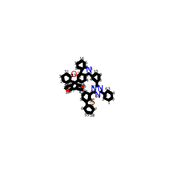 c1ccc(-c2nc(-c3cccc(-c4nc5ccccc5c5c6c(ccc45)C4(c5ccccc5O6)c5ccccc5-c5ccccc54)c3)nc(-c3cccc4c3sc3ccccc34)n2)cc1